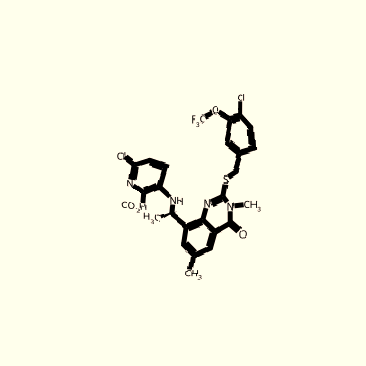 Cc1cc([C@@H](C)Nc2ccc(Cl)nc2C(=O)O)c2nc(SCc3ccc(Cl)c(OC(F)(F)F)c3)n(C)c(=O)c2c1